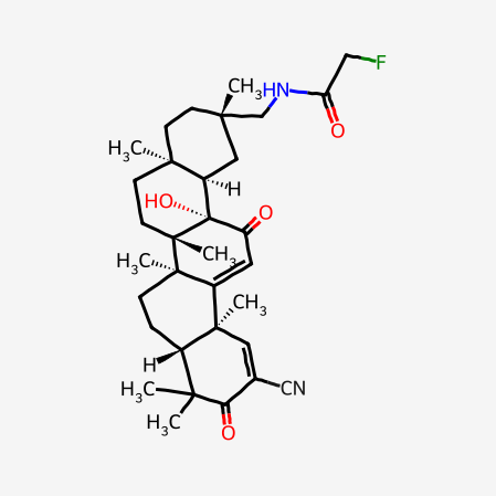 CC1(C)C(=O)C(C#N)=C[C@]2(C)C3=CC(=O)[C@]4(O)[C@@H]5C[C@@](C)(CNC(=O)CF)CC[C@]5(C)CC[C@@]4(C)[C@]3(C)CC[C@@H]12